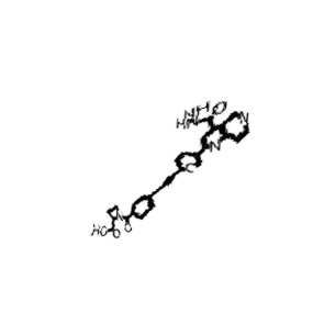 NNC(=O)c1cc(-c2ccc(C#Cc3ccc(C(=O)N4CCC4C(=O)O)cc3)cc2)nc2ccncc12